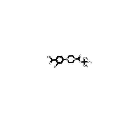 CC(C)(C)OC(=O)N1CCN(c2ccc(C(=O)O)c(Br)c2)CC1